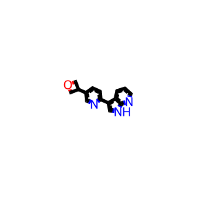 c1cnc2[nH]cc(-c3ccc(C4COC4)cn3)c2c1